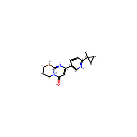 CC1(c2ccc(-c3cc(=O)n4c(n3)SCCC4)cn2)CC1